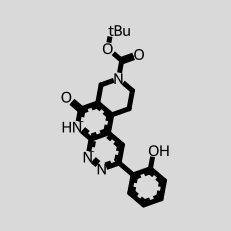 CC(C)(C)OC(=O)N1CCc2c(c(=O)[nH]c3nnc(-c4ccccc4O)cc23)C1